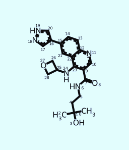 CC(C)(O)CCNC(=O)c1cnc2ccc(-c3cn[nH]c3)cc2c1NC1COC1